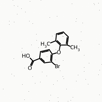 Cc1cccc(C)c1Oc1ccc(C(=O)O)cc1Br